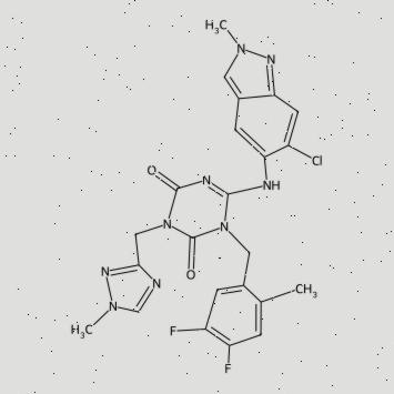 Cc1cc(F)c(F)cc1Cn1c(Nc2cc3cn(C)nc3cc2Cl)nc(=O)n(Cc2ncn(C)n2)c1=O